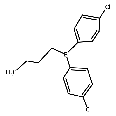 CCCCB(c1ccc(Cl)cc1)c1ccc(Cl)cc1